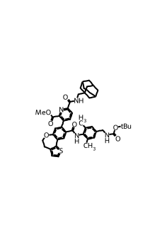 COC(=O)c1nc(C(=O)NCC23CC4CC(CC(C4)C2)C3)ccc1-c1cc2c(cc1C(=O)Nc1c(C)cc(CNC(=O)OC(C)(C)C)cc1C)-c1sccc1CCO2